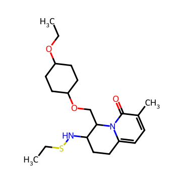 CCOC1CCC(OCC2C(NSCC)CCc3ccc(C)c(=O)n32)CC1